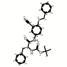 CC(C)(C)OC(=O)N[C@@H](Cc1ccccc1)C(=O)Nc1ccc(SCc2ccccc2)c(C#N)c1